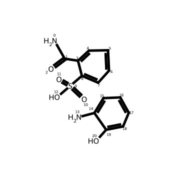 NC(=O)c1ccccc1S(=O)(=O)O.Nc1ccccc1O